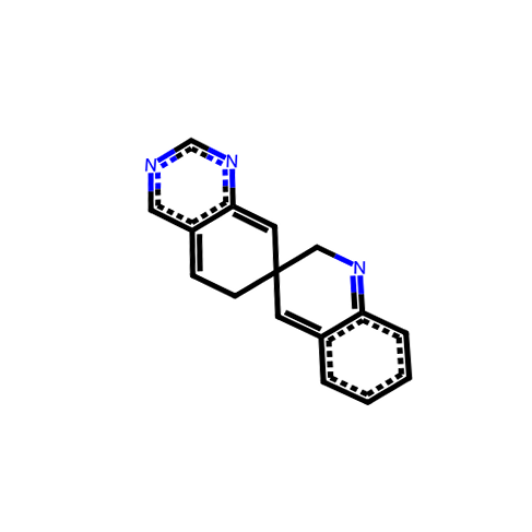 C1=c2ccccc2=NCC12C=c1ncncc1=CC2